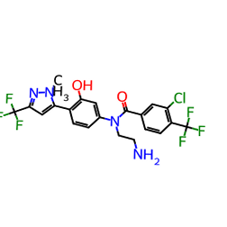 Cn1nc(C(F)(F)F)cc1-c1ccc(N(CCN)C(=O)c2ccc(C(F)(F)F)c(Cl)c2)cc1O